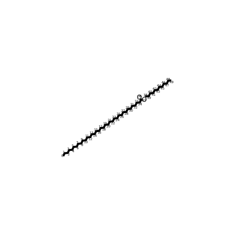 CCCCCCCCCCCCCCCCCCCCCCCCCCCCCCCCCCCC(=O)OCCCCCCCCCCCC